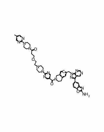 Cc1cnc(N2CCN(C(=O)CCOCCN3CCN(c4ncc(C(=O)N5CCc6cc(Cn7nc(-c8ccc9oc(N)nc9c8)c8cncnc87)ccc6C5)cn4)CC3)CC2)nc1